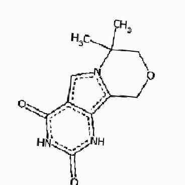 CC1(C)COCc2c3[nH]c(=O)[nH]c(=O)c3cn21